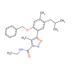 CCNC(=O)c1noc(-c2cc(CC(C)C)c(C)cc2OCc2ccccc2)c1C